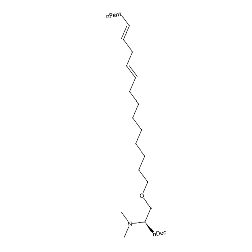 CCCCCC=CCC=CCCCCCCCCOC[C@@H](CCCCCCCCCC)N(C)C